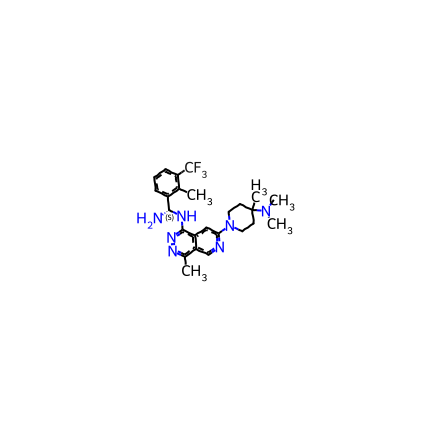 Cc1c([C@@H](N)Nc2nnc(C)c3cnc(N4CCC(C)(N(C)C)CC4)cc23)cccc1C(F)(F)F